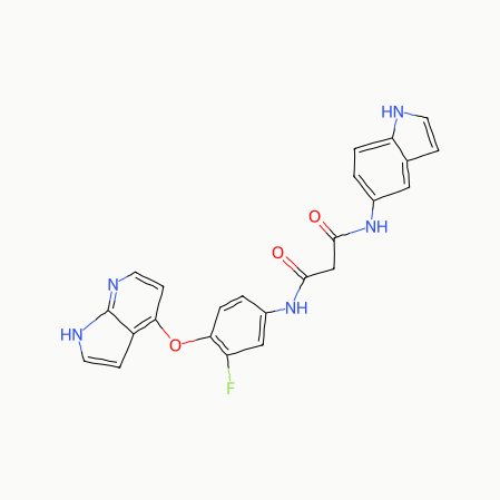 O=C(CC(=O)Nc1ccc2[nH]ccc2c1)Nc1ccc(Oc2ccnc3[nH]ccc23)c(F)c1